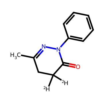 [2H]C1([2H])CC(C)=NN(c2ccccc2)C1=O